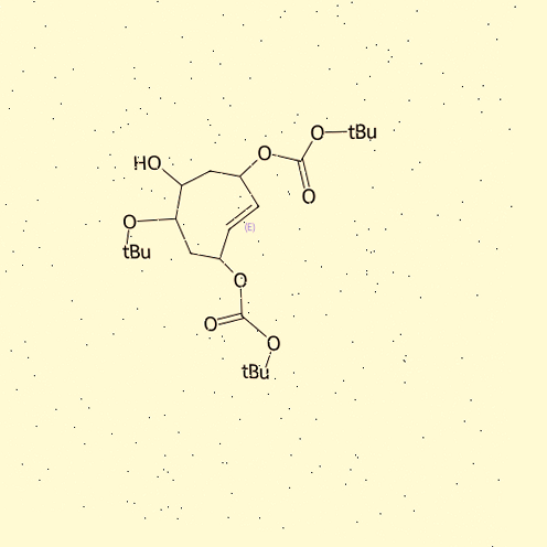 CC(C)(C)OC(=O)OC1/C=C/C(OC(=O)OC(C)(C)C)CC(OC(C)(C)C)C(O)C1